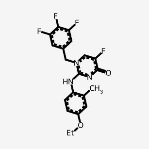 CCOc1ccc(Nc2nc(=O)c(F)cn2Cc2cc(F)c(F)c(F)c2)c(C)c1